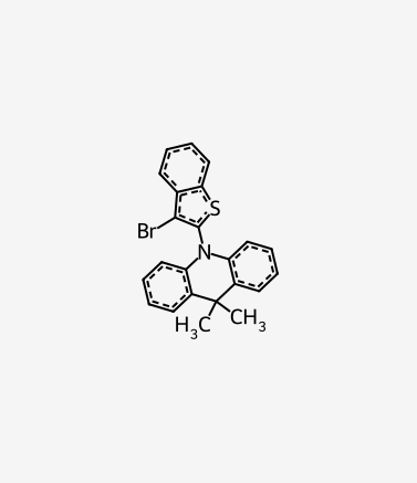 CC1(C)c2ccccc2N(c2sc3ccccc3c2Br)c2ccccc21